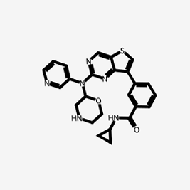 O=C(NC1CC1)c1cccc(-c2csc3cnc(N(c4cccnc4)C4CNCCO4)nc23)c1